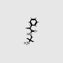 CC(C(=O)NCC(C)(C)N)c1ccccc1